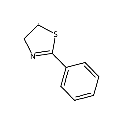 [CH]1CN=C(c2ccccc2)S1